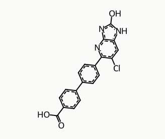 O=C(O)c1ccc(-c2ccc(-c3nc4nc(O)[nH]c4cc3Cl)cc2)cc1